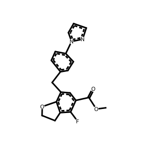 COC(=O)c1cc(Cc2ccc(-n3cccn3)cc2)c2c(c1F)CCO2